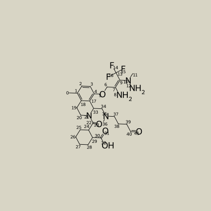 Cc1ccc(OC/C(N)=C(/N(C)N)C(F)(F)F)c2c1CCN(C(=O)C1CCCCC1C(=O)O)C2CN(C)CCCC=O